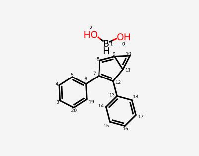 OBO.c1ccc(-c2cc3cc-3c2-c2ccccc2)cc1